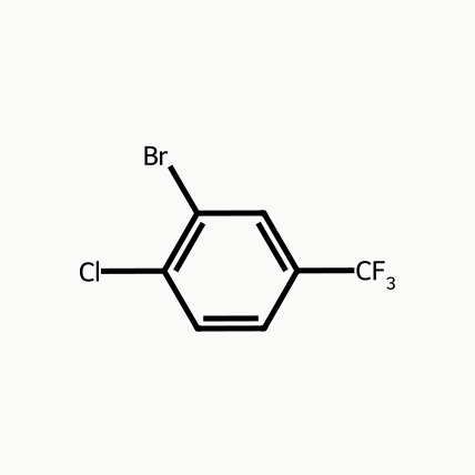 FC(F)(F)c1ccc(Cl)c(Br)c1